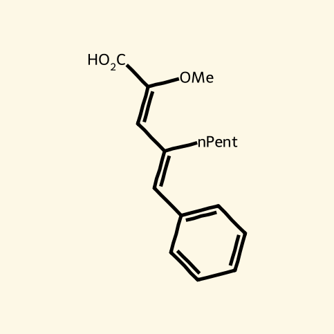 CCCCCC(/C=C(\OC)C(=O)O)=C\c1ccccc1